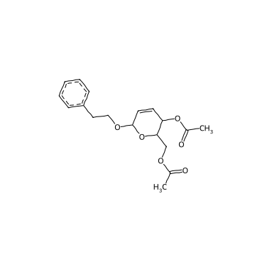 CC(=O)OCC1OC(OCCc2ccccc2)C=CC1OC(C)=O